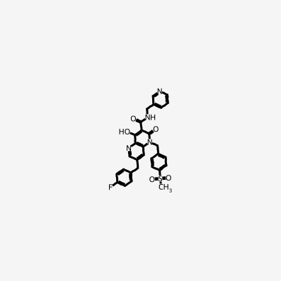 CS(=O)(=O)c1ccc(Cn2c(=O)c(C(=O)NCc3cccnc3)c(O)c3ncc(Cc4ccc(F)cc4)cc32)cc1